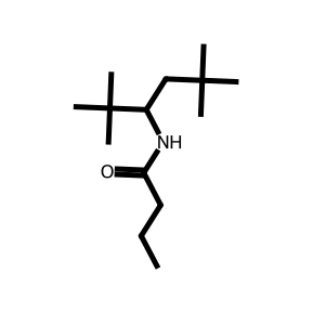 CCCC(=O)NC(CC(C)(C)C)C(C)(C)C